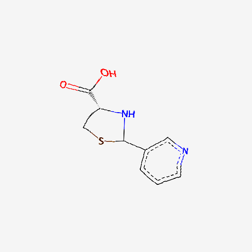 O=C(O)[C@H]1CSC(c2cccnc2)N1